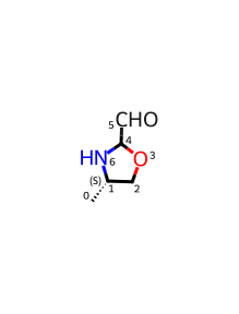 C[C@H]1COC(C=O)N1